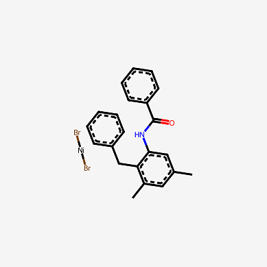 Cc1cc(C)c(Cc2ccccc2)c(NC(=O)c2ccccc2)c1.[Br][Ni][Br]